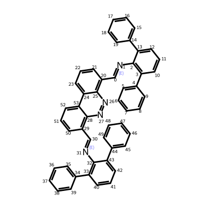 C(=N\c1c(-c2ccccc2)cccc1-c1ccccc1)/c1cccc2c1nnc1c(/C=N/c3c(-c4ccccc4)cccc3-c3ccccc3)cccc12